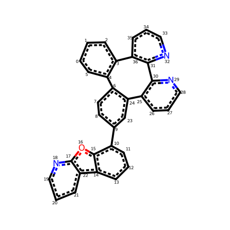 c1ccc2c(c1)-c1ccc(-c3cccc4c3oc3ncccc34)cc1-c1cccnc1-c1ncccc1-2